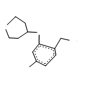 CC(C)(C)Cc1ccc(F)cc1OC1CCOCC1